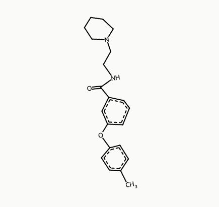 Cc1ccc(Oc2cccc(C(=O)NCCN3CCCCC3)c2)cc1